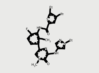 CCc1sc(C(=O)Nc2c(F)ccc(-c3cn(C)c(=O)c(Nc4cnn(CC)c4)n3)c2C)cc1C(C)C